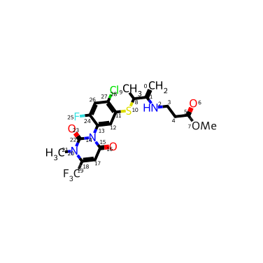 C=C(NCCC(=O)OC)C(C)Sc1cc(-n2c(=O)cc(C(F)(F)F)n(C)c2=O)c(F)cc1Cl